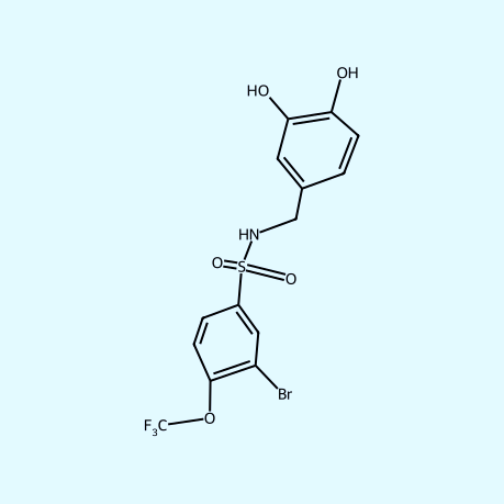 O=S(=O)(NCc1ccc(O)c(O)c1)c1ccc(OC(F)(F)F)c(Br)c1